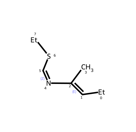 CC/C=C(C)/N=C\SCC